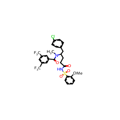 COc1ccccc1S(=O)(=O)NC(=O)CCC(Cc1ccc(Cl)cc1)N(C)C(=O)c1cc(C(F)(F)F)cc(C(F)(F)F)c1